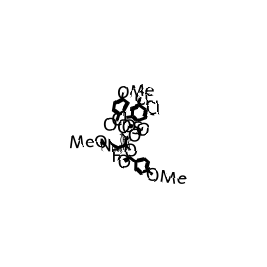 CON=C[C@@H](F)[C@H](OC(=O)c1ccc(OC)cc1)[C@@H](COC(=O)c1ccc(OC)cc1)OS(=O)(=O)c1cc(Cl)c(Cl)cc1Cl